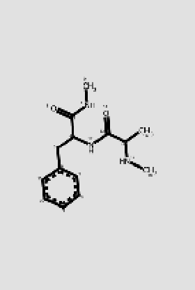 CNC(=O)C(Cc1ccccc1)NC(=O)C(C)NC